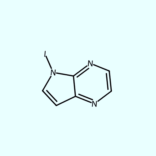 In1ccc2nccnc21